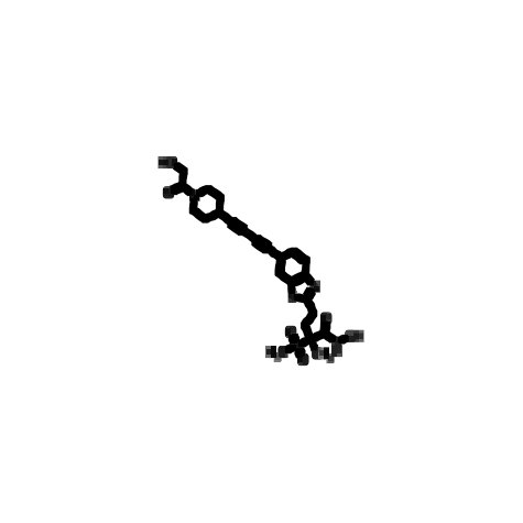 C[C@@](CCc1nc2ccc(C#CC#CC3CCN(C(=O)CO)CC3)cc2s1)(C(=O)NO)S(C)(=O)=O